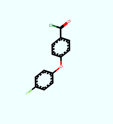 O=C(Cl)c1ccc(Oc2ccc(F)cc2)cc1